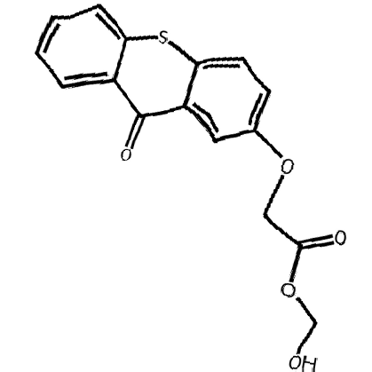 O=C(COc1ccc2sc3ccccc3c(=O)c2c1)OCO